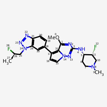 COc1nc(N[C@H]2CCN(C)C[C@H]2F)nn2ccc(-c3ccc4nnn(C[C@@H](C)F)c4c3)c12